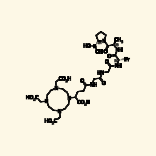 CC(C)[C@H](NC(=O)CNC(=O)CNC(=O)CCC(C(=O)O)N1CCN(CC(=O)O)CCN(CC(=O)O)CCN(CC(=O)O)CC1)C(=O)N[C@H](C)C(=O)N1CCC[C@H]1B(O)O